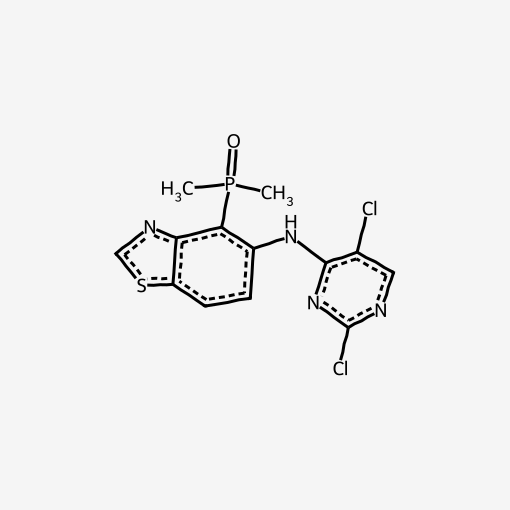 CP(C)(=O)c1c(Nc2nc(Cl)ncc2Cl)ccc2scnc12